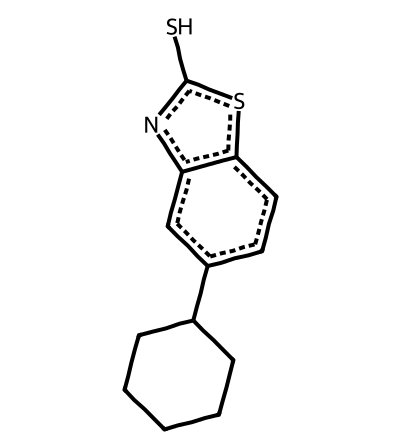 Sc1nc2cc(C3CCCCC3)ccc2s1